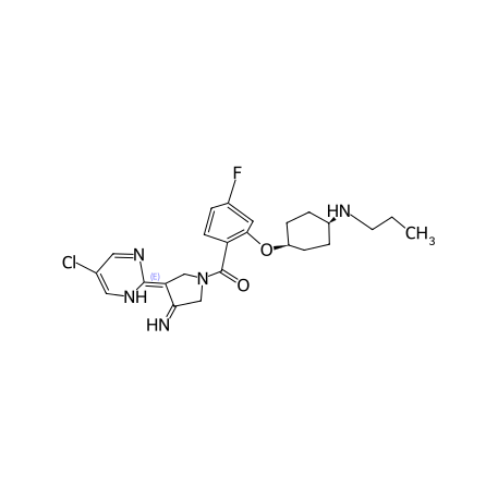 CCCN[C@H]1CC[C@@H](Oc2cc(F)ccc2C(=O)N2CC(=N)/C(=C3/N=CC(Cl)=CN3)C2)CC1